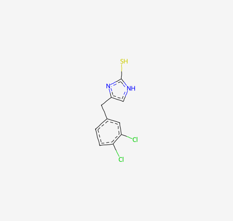 Sc1nc(Cc2ccc(Cl)c(Cl)c2)c[nH]1